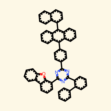 c1ccc(-c2ccccc2-c2nc(-c3ccc(-c4c5ccccc5c(-c5cccc6ccccc56)c5ccccc45)cc3)nc(-c3cccc4c3oc3ccccc34)n2)cc1